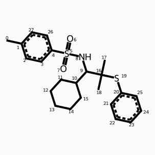 Cc1ccc(S(=O)(=O)NC(C2CCCCC2)C(C)(C)Sc2ccccc2)cc1